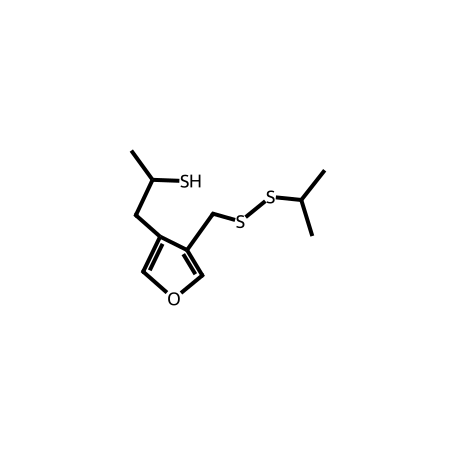 CC(S)Cc1cocc1CSSC(C)C